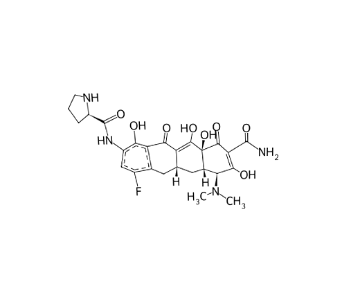 CN(C)[C@@H]1C(O)=C(C(N)=O)C(=O)[C@@]2(O)C(O)=C3C(=O)c4c(O)c(NC(=O)[C@H]5CCCN5)cc(F)c4C[C@H]3C[C@@H]12